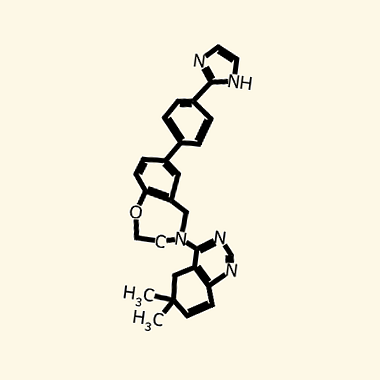 CC1(C)C=Cc2ncnc(N3CCOc4ccc(-c5ccc(-c6ncc[nH]6)cc5)cc4C3)c2C1